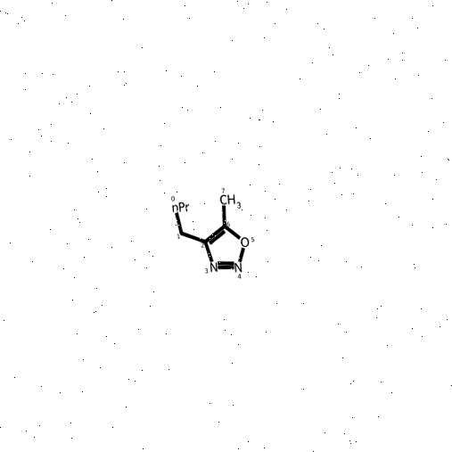 CCCCc1nnoc1C